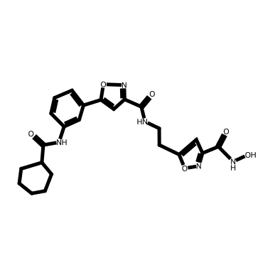 O=C(NO)c1cc(CCNC(=O)c2cc(-c3cccc(NC(=O)C4CCCCC4)c3)on2)on1